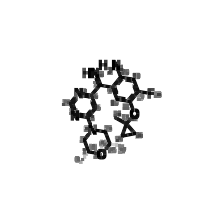 C[C@@H]1CN(c2cc(C(=N)c3cc(OC4(C)CC4)c(F)cc3N)ncn2)C[C@H](C)O1